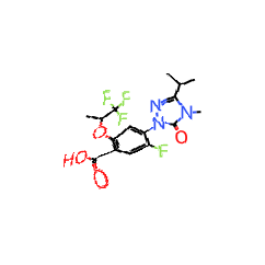 CC(C)c1nn(-c2cc(OC(C)C(F)(F)F)c(C(=O)O)cc2F)c(=O)n1C